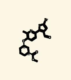 COC(=O)[C@H]1CCC[C@H](Oc2ccc(-c3sc(Br)cc3C=O)nc2C)C1